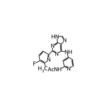 CC(=O)Nc1cc(Nc2nc(-c3ccc(F)c(C)n3)nc3[nH]cnc23)ccn1